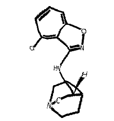 Clc1cccc2onc(N[C@H]3CN4CCC3CC4)c12